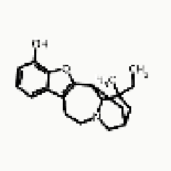 CCC1(C)CC2CC3c4oc5c(O)cccc5c4CCN(C2)C31